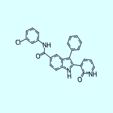 O=C(Nc1cccc(Cl)c1)c1ccc2[nH]c(-c3ccc[nH]c3=O)c(-c3ccccc3)c2c1